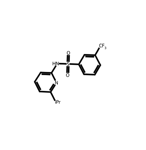 CC(C)c1cccc(NS(=O)(=O)c2cccc(C(F)(F)F)c2)n1